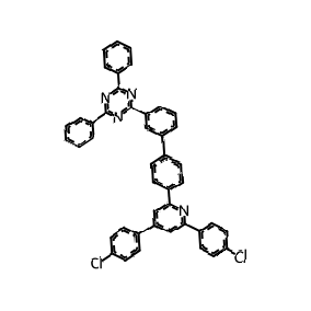 Clc1ccc(-c2cc(-c3ccc(Cl)cc3)nc(-c3ccc(-c4cccc(-c5nc(-c6ccccc6)nc(-c6ccccc6)n5)c4)cc3)c2)cc1